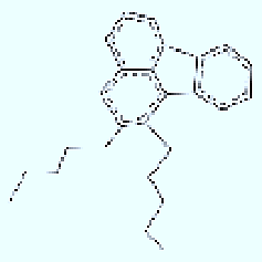 CCCCCc1cc2cccc3c2c(c1CCCCC)-c1ccccc1-3